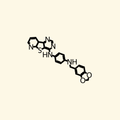 C1=CC2c3ncnc(Nc4ccc(NCc5ccc6c(c5)OCO6)cc4)c3SC2N=C1